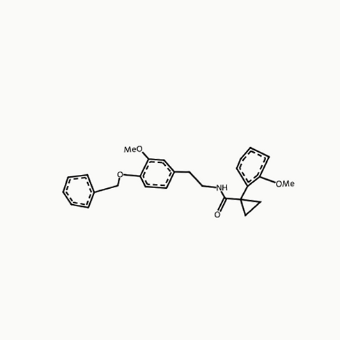 COc1cc(CCNC(=O)C2(c3ccccc3OC)CC2)ccc1OCc1ccccc1